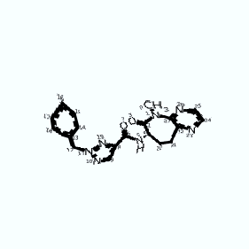 CN1C(=O)[C@@H](NC(=O)c2cnn(Cc3ccccc3)n2)CCc2nccnc21